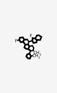 Cc1ccccc1C1=c2ccc3c(c2CCC1C)C(c1ccc2ccccc2c1F)C=c1ccc(F)cc1=3